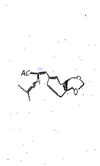 CC(=O)/C(=C/c1ccc2c(c1)OCO2)N=C(C)C